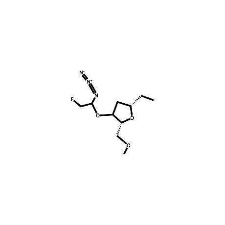 CC[C@H]1CC(OC(CF)N=[N+]=[N-])[C@@H](COC)O1